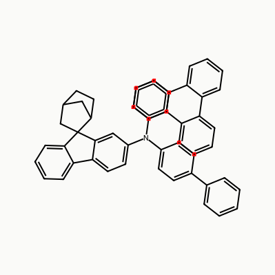 c1ccc(-c2ccc(N(c3ccc4c(c3)C3(CC5CCC3C5)c3ccccc3-4)c3ccccc3-c3ccccc3-c3ccccc3-c3ccccc3)cc2)cc1